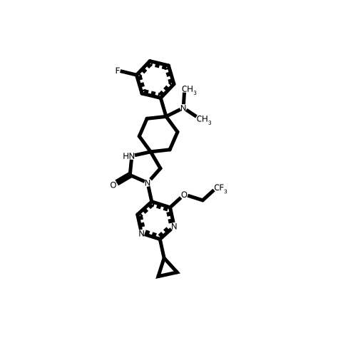 CN(C)C1(c2cccc(F)c2)CCC2(CC1)CN(c1cnc(C3CC3)nc1OCC(F)(F)F)C(=O)N2